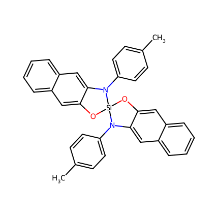 Cc1ccc(N2c3cc4ccccc4cc3O[Si]23Oc2cc4ccccc4cc2N3c2ccc(C)cc2)cc1